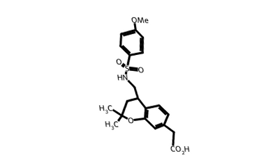 COc1ccc(S(=O)(=O)NCC2CC(C)(C)Oc3cc(CC(=O)O)ccc32)cc1